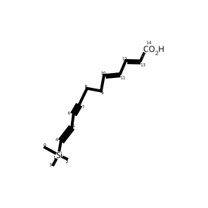 C[Si](C)(C)C#CC#CCCC=CC=CC(=O)O